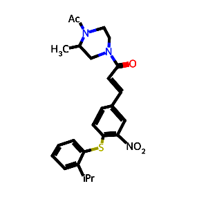 CC(=O)N1CCN(C(=O)C=Cc2ccc(Sc3ccccc3C(C)C)c([N+](=O)[O-])c2)CC1C